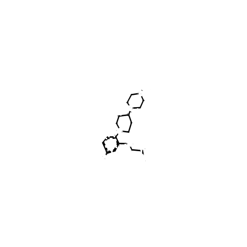 CN1CCN(C2CCN(c3ccc([N+](=O)[O-])cc3OCCF)CC2)CC1